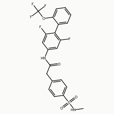 CNS(=O)(=O)c1ccc(CC(=O)Nc2cc(F)c(-c3ccccc3OC(F)(F)F)c(F)c2)cc1